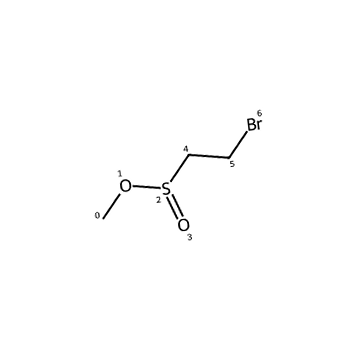 COS(=O)CCBr